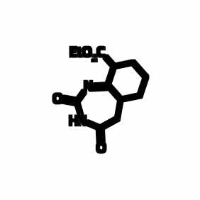 CCOC(=O)C1CCCC2CC(=O)NC(=O)N=C21